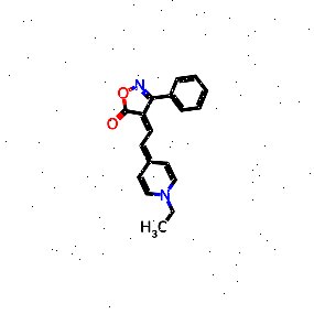 CCN1C=CC(=C/C=C2\C(=O)ON=C2c2ccccc2)C=C1